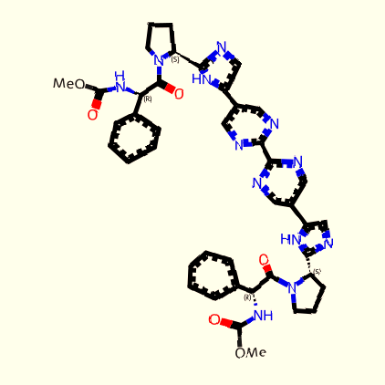 COC(=O)N[C@@H](C(=O)N1CCC[C@H]1c1ncc(-c2cnc(-c3ncc(-c4cnc([C@@H]5CCCN5C(=O)[C@H](NC(=O)OC)c5ccccc5)[nH]4)cn3)nc2)[nH]1)c1ccccc1